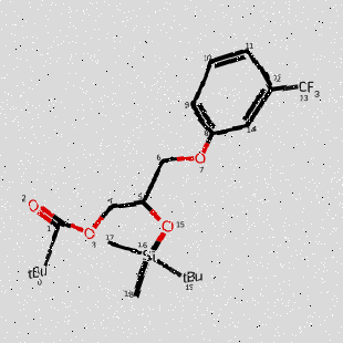 CC(C)(C)C(=O)OCC(COc1cccc(C(F)(F)F)c1)O[Si](C)(C)C(C)(C)C